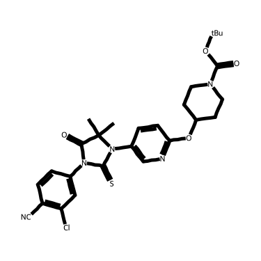 CC(C)(C)OC(=O)N1CCC(Oc2ccc(N3C(=S)N(c4ccc(C#N)c(Cl)c4)C(=O)C3(C)C)cn2)CC1